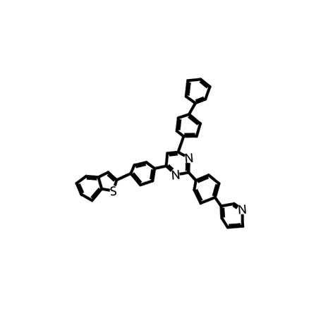 c1ccc(-c2ccc(-c3cc(-c4ccc(-c5cc6ccccc6s5)cc4)nc(-c4ccc(-c5cccnc5)cc4)n3)cc2)cc1